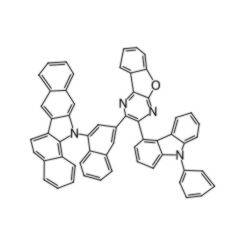 c1ccc(-n2c3ccccc3c3c(-c4nc5oc6ccccc6c5nc4-c4cc(-n5c6cc7ccccc7cc6c6ccc7ccccc7c65)c5ccccc5c4)cccc32)cc1